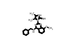 COc1cccc2c(NCc3ccccc3)nc(-n3c(C)c(C)[nH]c3=N)nc12